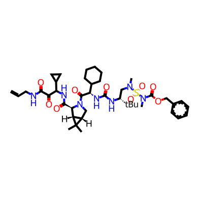 C=CCNC(=O)C(=O)C(NC(=O)[C@@H]1[C@@H]2[C@H](CN1C(=O)[C@@H](NC(=O)N[C@H](CN(C)S(=O)(=O)N(C)C(=O)OCc1ccccc1)C(C)(C)C)C1CCCCC1)C2(C)C)C1CC1